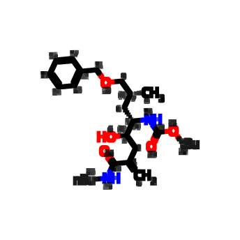 C=C(C[C@@H](O)[C@H](C[C@@H](C)COCc1ccccc1)NC(=O)OC(C)(C)C)C(=O)NCCCC